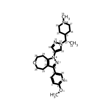 COc1ccc(-c2nn(-c3cnn([C@@H](C)C4CCN(C)CC4)c3)c3c2CCOCC3)cn1